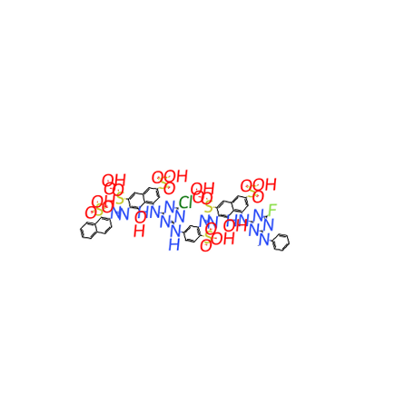 CN(c1ccccc1)c1nc(F)nc(Nc2cc(S(=O)(=O)O)cc3cc(SOOO)c(/N=N/c4cc(Nc5nc(Cl)nc(Nc6cc(S(=O)(=O)O)cc7cc(SOOO)c(/N=N/c8ccc9ccccc9c8S(=O)(=O)O)c(O)c67)n5)ccc4S(=O)(=O)O)c(O)c23)n1